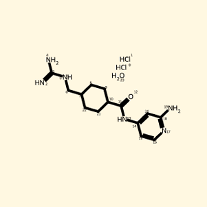 Cl.Cl.N=C(N)NCC1CCC(C(=O)Nc2ccnc(N)c2)CC1.O